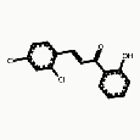 O=C(/C=C/c1ccc(Cl)cc1Cl)c1ccccc1O